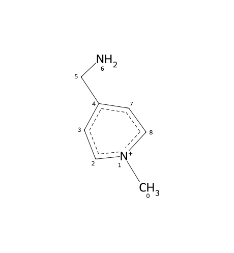 C[n+]1ccc(CN)cc1